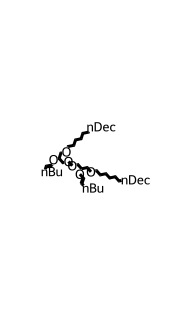 CCCCC=COC(COCCCCCCCCCCCCCCCC)COOCC(COCCCCCCCCCCCCCCCC)OC=CCCCC